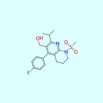 CC(C)c1nc2c(c(-c3ccc(F)cc3)c1CO)CCCN2S(C)(=O)=O